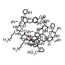 CC(C)C[C@H](NC(=O)[C@H](CC(C)C)NC(=O)[C@@H](NC(=O)[C@@H]1CCCN1C(=O)[C@H](CC(C)C)NC(=O)[C@H](CC(C)C)NC(=O)[C@@H](NC(=O)[C@H](C)NC(=O)[C@H](C)NC(=O)[C@H](CCCCN)NC(=O)[C@@H](NC(=O)[C@H](CCCCN)NC(=O)[C@H](CC(C)C)NC(=O)[C@H](Cc1ccc(OP(=O)(O)O)cc1)NC(=O)[C@@H]1CCCN1)[C@@H](C)O)C(C)C)C(C)C)C(=O)N[C@@H](C)C(=O)N[C@@H](C)C(=O)N1CCC[C@H]1C(=O)O